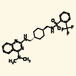 CN(C)c1nc(NC[C@H]2CC[C@H](CNS(=O)(=O)c3ccccc3C(F)(F)F)CC2)nc2ccccc12